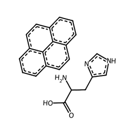 NC(Cc1c[nH]cn1)C(=O)O.c1cc2ccc3cccc4ccc(c1)c2c34